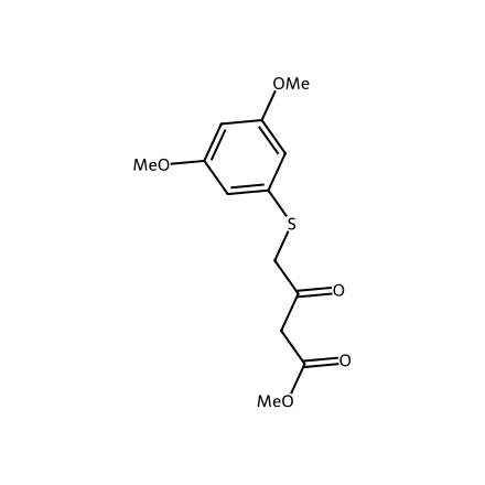 COC(=O)CC(=O)CSc1cc(OC)cc(OC)c1